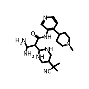 CN1CCC(c2ccncc2NC(=O)C(C(N)N)C2NCC(C(C)(C)C#N)CN2)CC1